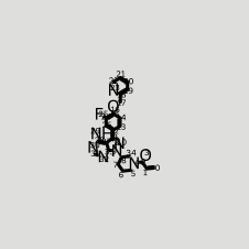 C=CC(=O)N1CCCC(n2nc(-c3ccc(OCc4ccccn4)c(F)c3)c3c(N)ncnc32)C1